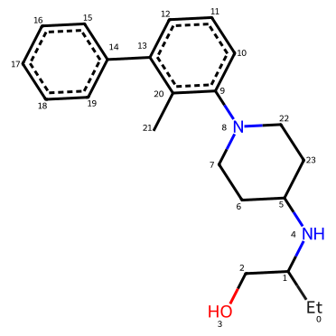 CCC(CO)NC1CCN(c2cccc(-c3ccccc3)c2C)CC1